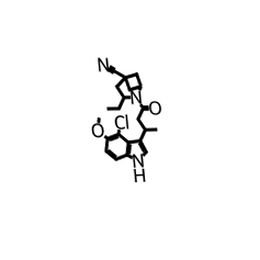 CCC1CC2(C#N)CC(C2)N1C(=O)CC(C)c1c[nH]c2ccc(OC)c(Cl)c12